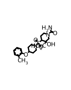 Cc1ccccc1OC1CCN(S(=O)(=O)C2CCN(C(N)=O)CC2(O)C(=O)O)CC1